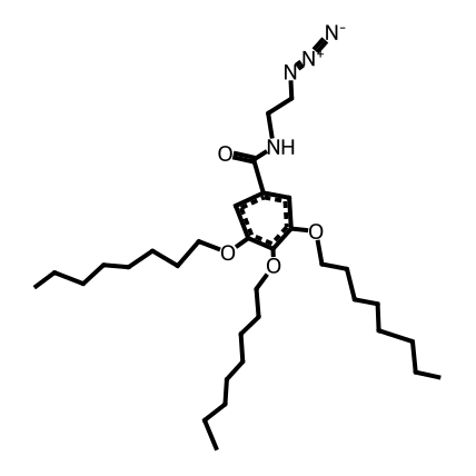 CCCCCCCCOc1cc(C(=O)NCCN=[N+]=[N-])cc(OCCCCCCCC)c1OCCCCCCCC